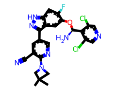 CC1(C)CN(c2ncc(-c3n[nH]c4cc(F)c(O[C@H](N)c5c(Cl)cncc5Cl)cc34)cc2C#N)C1